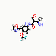 CC(=N)C(C=O)C(=O)Nc1ccc(OC(F)F)c(-c2ncco2)c1